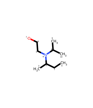 CCC(C)N(CC[O])C(C)C